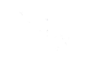 Cc1cn2cc(NC(=O)c3ccc(N4CC[C@@H](N)C4)c4cc(C)[nH]c34)cc(F)c2n1.Cl